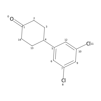 O=C1CCC(c2cc(Cl)cc(Cl)c2)CC1